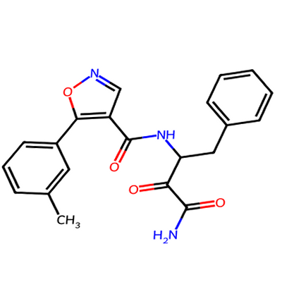 Cc1cccc(-c2oncc2C(=O)NC(Cc2ccccc2)C(=O)C(N)=O)c1